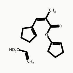 C=CC(=O)O.CC(=CC1=CCCC1)C(=O)OC1=CCCC1